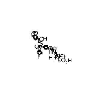 CCC(CC(=O)CNC(=O)COc1ccc([C@@H]2[C@@H](SCC(O)c3ccc4c(c3)OCCO4)C(=O)N2c2ccc(F)cc2)cc1)[C@@H](N)C(=O)O